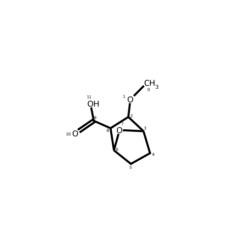 COC1C2CCC(O2)C1C(=O)O